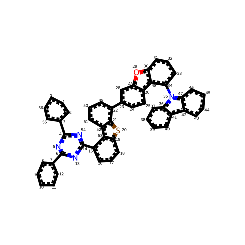 c1ccc(-c2nc(-c3ccccc3)nc(-c3cccc4sc5c(-c6ccc7c(c6)oc6cccc(-n8c9ccccc9c9ccccc98)c67)cccc5c34)n2)cc1